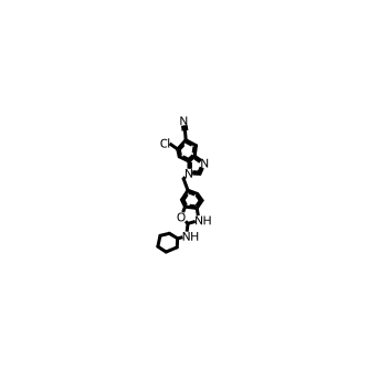 N#Cc1cc2ncn(Cc3ccc4c(c3)OC(NC3CCCCC3)N4)c2cc1Cl